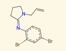 C=CCN1CCCC1=Nc1ccc(Br)cc1Br